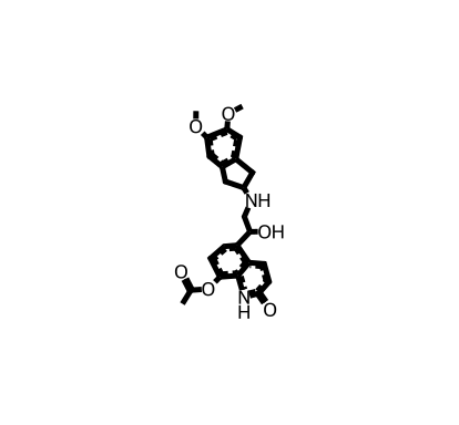 COc1cc2c(cc1OC)CC(NCC(O)c1ccc(OC(C)=O)c3[nH]c(=O)ccc13)C2